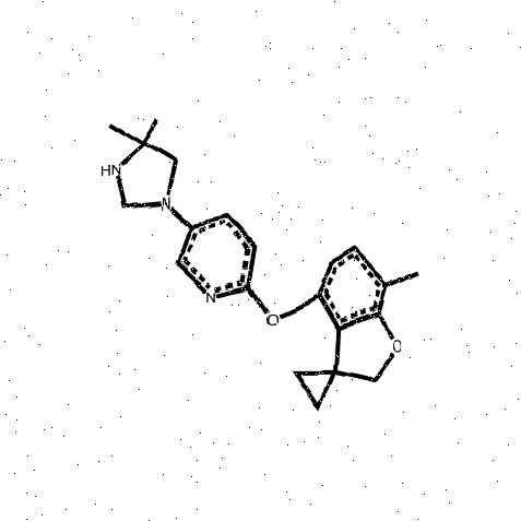 Cc1ccc(Oc2ccc(N3CNC(C)(C)C3)cn2)c2c1OCC21CC1